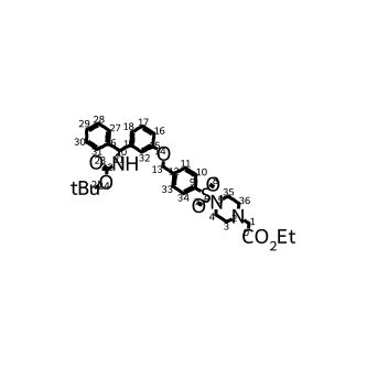 CCOC(=O)CN1CCN(S(=O)(=O)c2ccc(COc3cccc([C@@H](NC(=O)OC(C)(C)C)c4ccccc4)c3)cc2)CC1